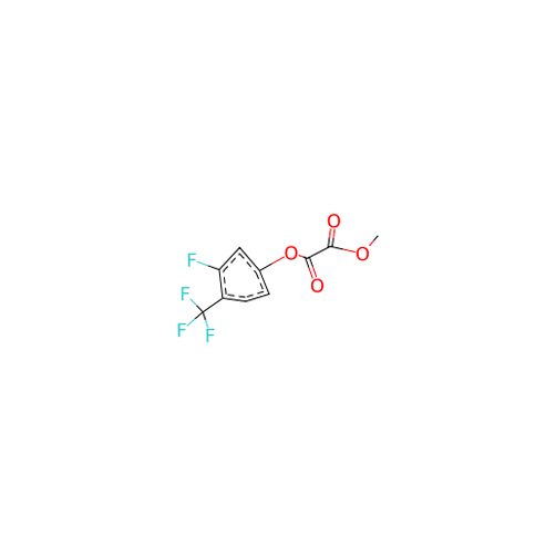 COC(=O)C(=O)Oc1ccc(C(F)(F)F)c(F)c1